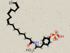 CC/C=C\C/C=C\C/C=C\CCCCCCCC(=O)NC(Cc1ccc(OP(=O)(O)O)cc1)C(=O)O